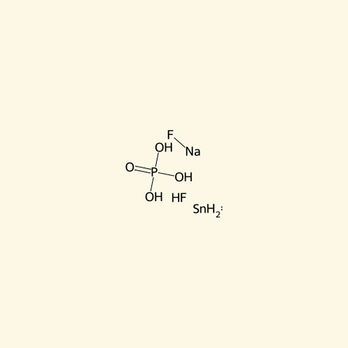 F.O=P(O)(O)O.[F][Na].[SnH2]